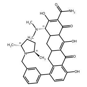 C[C@@H]1CC[C@@H](C)N1Cc1cccc(-c2ccc(O)c3c2CC2CC4C(C(=O)C(C(N)=O)=C(O)[C@H]4N(C)C)C(O)=C2C3=O)c1